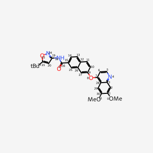 COc1cc2nccc(Oc3ccc4ccc(C(=O)Nc5cc(C(C)(C)C)on5)cc4c3)c2cc1OC